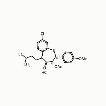 CCN(C)CCN1C(=O)[C@@H](OC(C)=O)[C@@H](c2ccc(OC)cc2)Sc2cc(Cl)ccc21.Cl